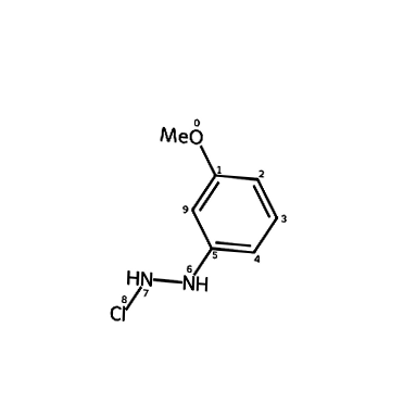 COc1cccc(NNCl)c1